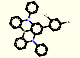 N#Cc1ccc(-c2cc3c4c(c2)N(c2ccccc2)c2ccccc2B4c2ccccc2N3c2ccccc2)c(C#N)c1